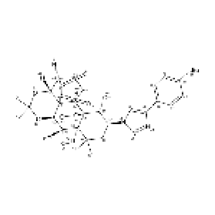 C=C1C(=O)[C@@]23[C@@H]4OC(C)(C)O[C@]25OC[C@]2([C@H](O)[C@@H](n6cc(-c7ccc(C(C)(C)C)cc7)nn6)CC(C)(C)[C@H]2[C@@H]5O)[C@@H]3CC[C@@H]14